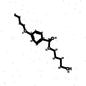 CCCCOc1ccc(C(=O)OCCCCO)cc1